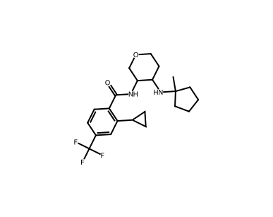 CC1(NC2CCOCC2NC(=O)c2ccc(C(F)(F)F)cc2C2CC2)CCCC1